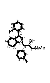 CNC[C@@H](O)[C@H](c1cccc(F)c1)n1cc(-c2ccccc2F)c2ccccc21